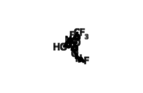 O=C(c1ccc(OCCN2CC(CF)C2)cc1)c1c(-c2cccc(C(F)(F)F)c2F)cnc2cc(O)ccc12